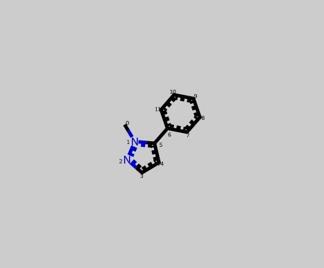 Cn1nc[c]c1-c1ccccc1